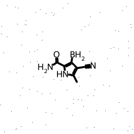 Bc1c(C(N)=O)[nH]c(C)c1C#N